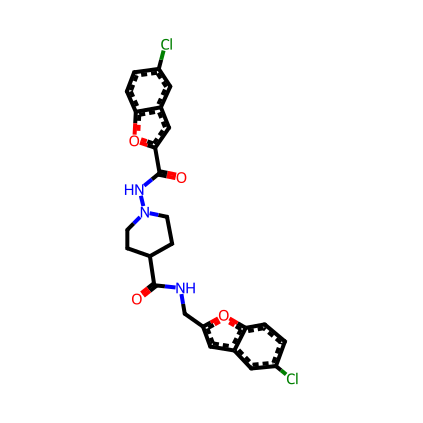 O=C(NN1CCC(C(=O)NCc2cc3cc(Cl)ccc3o2)CC1)c1cc2cc(Cl)ccc2o1